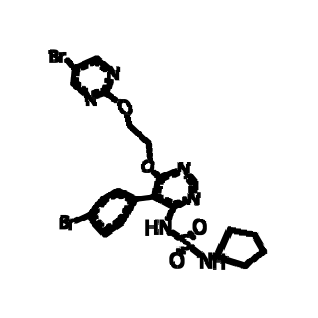 O=S(=O)(Nc1ncnc(OCCOc2ncc(Br)cn2)c1-c1ccc(Br)cc1)NC1CCCC1